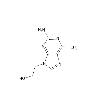 Cc1nc(N)nc2c1ncn2CCO